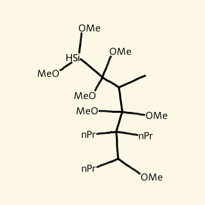 CCCC(OC)C(CCC)(CCC)C(OC)(OC)C(C)C(OC)(OC)[SiH](OC)OC